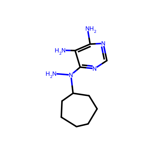 Nc1ncnc(N(N)C2CCCCCC2)c1N